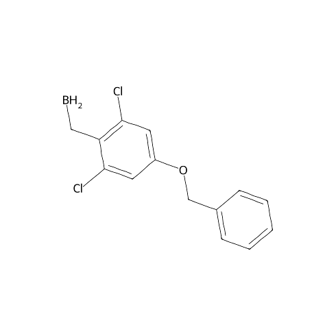 BCc1c(Cl)cc(OCc2ccccc2)cc1Cl